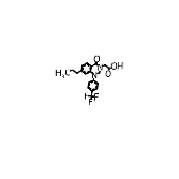 CCCc1ccc2c(c1)N(c1ccc(C(F)(F)F)cc1)CN(CC(=O)O)C2=O